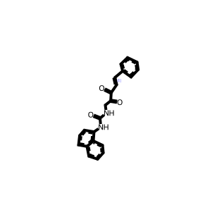 O=C(NCC(=O)C(=O)/C=C/c1ccccc1)Nc1cccc2ccccc12